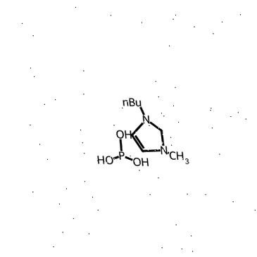 CCCCN1C=CN(C)C1.OP(O)O